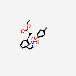 CCOC(=O)[C@@H]1C[C@H]1c1cccc2ccn(S(=O)(=O)c3ccc(C)cc3)c12